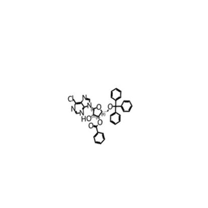 O=C(O[C@@H]1[C@H](O)[C@H](n2cnc3c(Cl)ncnc32)O[C@@H]1COC(c1ccccc1)(c1ccccc1)c1ccccc1)c1ccccc1